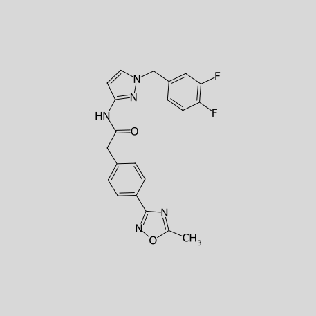 Cc1nc(-c2ccc(CC(=O)Nc3ccn(Cc4ccc(F)c(F)c4)n3)cc2)no1